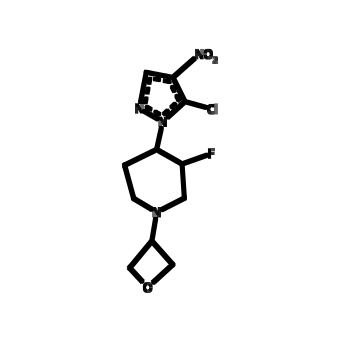 O=[N+]([O-])c1cnn(C2CCN(C3COC3)CC2F)c1Cl